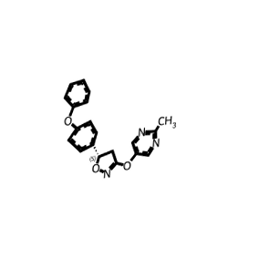 Cc1ncc(OC2=NO[C@H](c3ccc(Oc4ccccc4)cc3)C2)cn1